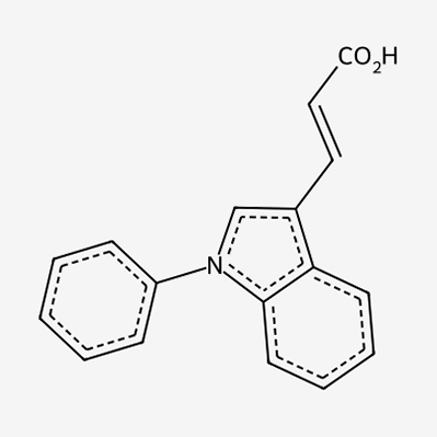 O=C(O)C=Cc1cn(-c2ccccc2)c2ccccc12